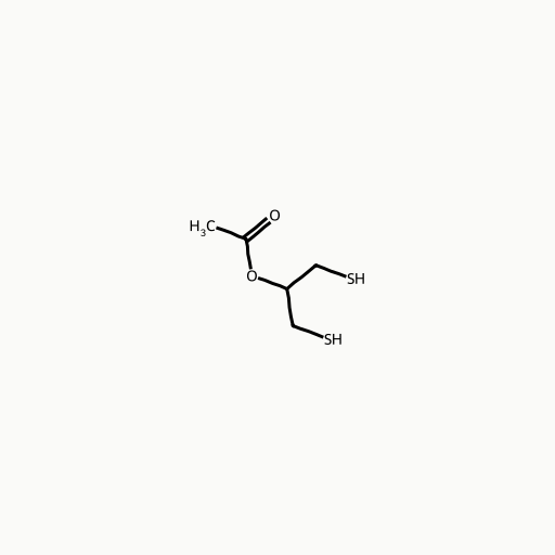 CC(=O)OC(CS)CS